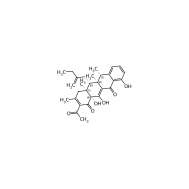 C=C(CC)C[C@@H]1[C@]2(C)C(=C(O)[C@@]3(O)C(=O)C(C(C)=O)=C(C)C[C@@]13C)C(=O)c1c(O)cccc1[C@H]2C